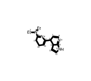 CCN(CC)C1=NC(C2C=CN=C3NC=CC32)=CCC1